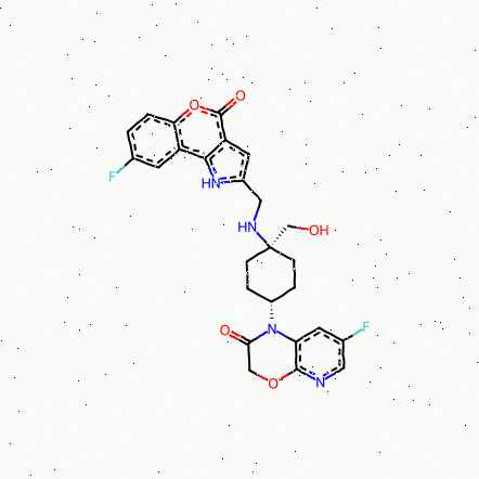 O=C1COc2ncc(F)cc2N1[C@H]1CC[C@](CO)(NCc2cc3c(=O)oc4ccc(F)cc4c3[nH]2)CC1